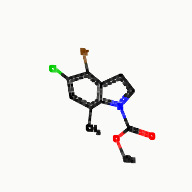 Cc1cc(Cl)c(Br)c2ccn(C(=O)OC(C)(C)C)c12